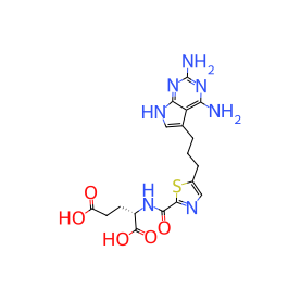 Nc1nc(N)c2c(CCCc3cnc(C(=O)N[C@@H](CCC(=O)O)C(=O)O)s3)c[nH]c2n1